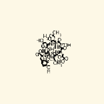 CC[C@H](C)[C@H](N)C(=O)N[C@@H](CCC(=O)O)C(=O)N[C@@H](CO)C(=O)N[C@@H](CC(C)C)C(=O)N[C@@H](CC(=O)O)C(=O)N[C@@H](CO)C(=O)N[C@@H](Cc1ccc(O)cc1)C(=O)O